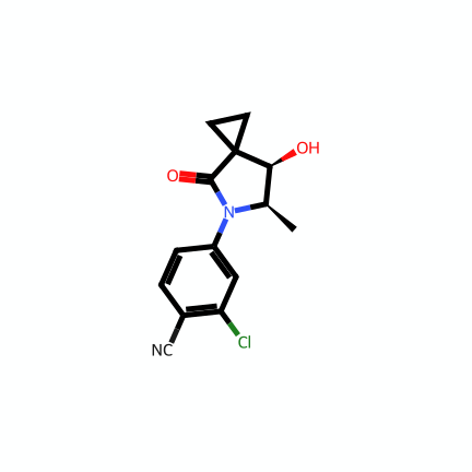 C[C@@H]1[C@H](O)C2(CC2)C(=O)N1c1ccc(C#N)c(Cl)c1